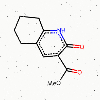 COC(=O)c1cc2c([nH]c1=O)CCCC2